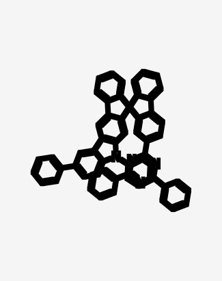 c1ccc(-c2ccc3c(c2)c2cc4c(cc2n3-c2ccccc2)C2(c3ccccc3-c3ccc(-c5nc(-c6ccccc6)nc(-c6ccccc6)n5)cc32)c2ccccc2-4)cc1